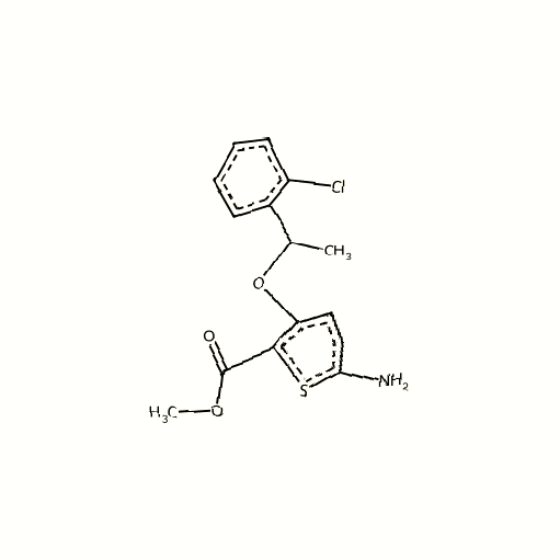 COC(=O)c1sc(N)cc1OC(C)c1ccccc1Cl